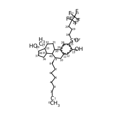 CCCCCCCCC[C@@H]1Cc2cc(O)c([S+]([O-])CCCC(F)(F)C(F)(F)F)cc2C2CC[C@@]3(C)C(CC[C@@H]3O)C21